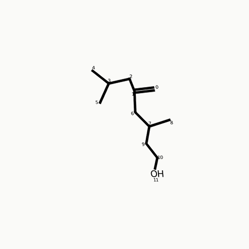 C=C(CC(C)C)CC(C)CCO